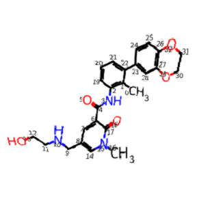 Cc1c(NC(=O)c2cc(CNCCO)cn(C)c2=O)cccc1-c1ccc2c(c1)OCCO2